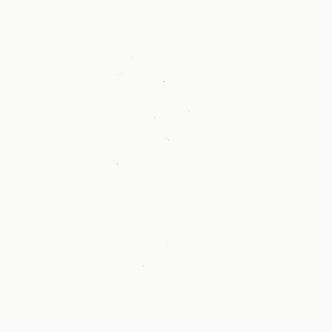 c1ccc(-c2nc(-c3cccc4oc5ccccc5c34)nc(-c3ccnc4oc5c(-c6ccc7ccccc7c6)cccc5c34)n2)cc1